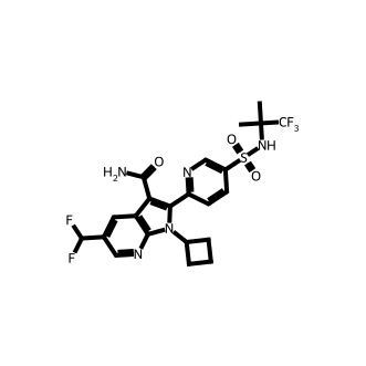 CC(C)(NS(=O)(=O)c1ccc(-c2c(C(N)=O)c3cc(C(F)F)cnc3n2C2CCC2)nc1)C(F)(F)F